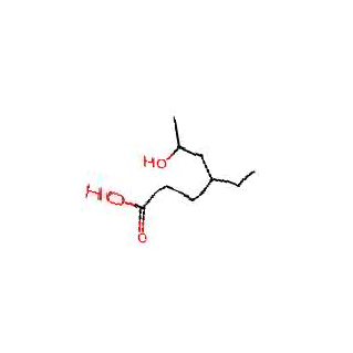 CCC(CCC(=O)O)CC(C)O